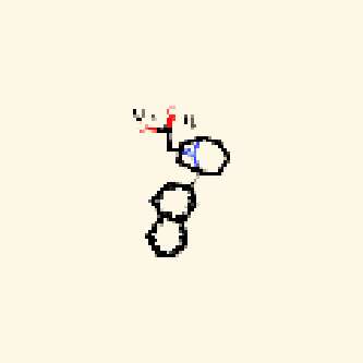 COC(=O)CN1[C@@H]2CCC[C@@]1(c1ccc3ccccc3c1)CC2